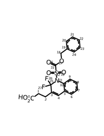 O=C(O)CCC1=Cc2ccccc2N(S(=O)(=O)C(=O)OCc2ccccc2)C1(F)F